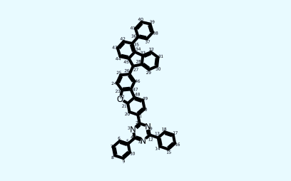 C1=C(c2nc(-c3ccccc3)nc(-c3ccccc3)n2)CC2Oc3ccc(C4c5ccccc5-c5c(-c6ccccc6)cccc54)cc3C2=C1